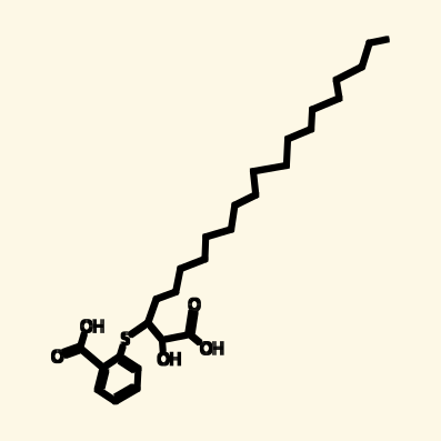 CCCCCCCCCCCCCCCCCCC(Sc1ccccc1C(=O)O)C(O)C(=O)O